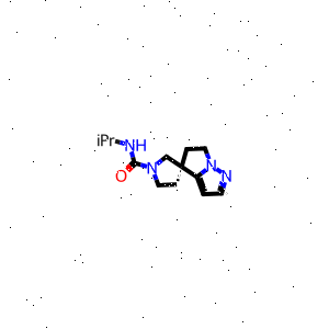 CC(C)NC(=O)N1CC[C@@]2(CCn3n[c]cc32)C1